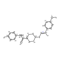 COc1ccc(/C(C)=C/CC2CCN(C(=O)Nc3ccc(C)cc3)CC2)cc1